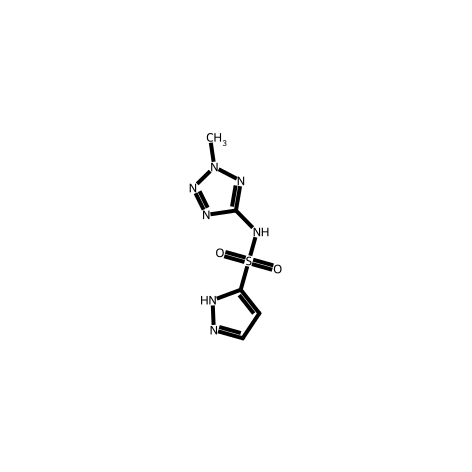 Cn1nnc(NS(=O)(=O)c2ccn[nH]2)n1